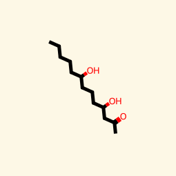 CCCCCC(O)CCCC(O)CC(C)=O